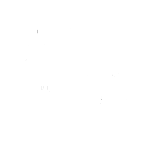 BC1(C(C)C)CC2CCN(C(C)C)C(=S)C2CCCCCC(C)(I)C1